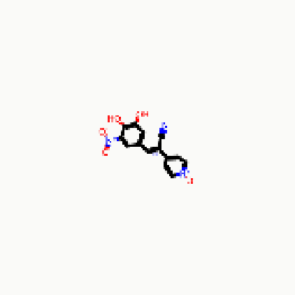 N#C/C(=C\c1cc(O)c(O)c([N+](=O)[O-])c1)c1cc[n+]([O-])cc1